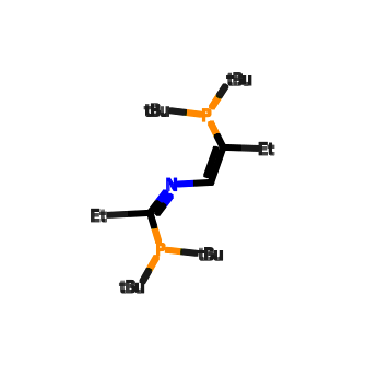 CC/C(=C/N=C(/CC)P(C(C)(C)C)C(C)(C)C)P(C(C)(C)C)C(C)(C)C